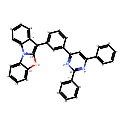 c1ccc(-c2cc(-c3cccc(-c4c5ccccc5n5c4oc4ccccc45)c3)nc(-c3ccccc3)n2)cc1